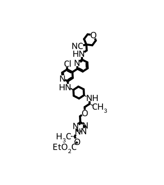 CCOC(=O)O[C@H](C)n1nnc(COC[C@@H](C)N[C@H]2CC[C@H](Nc3cc(-c4cccc(NCC5(C#N)CCOCC5)n4)c(Cl)cn3)CC2)n1